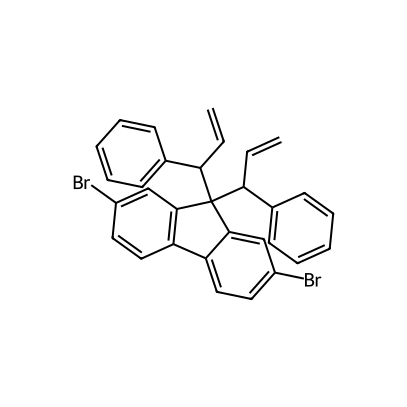 C=CC(c1ccccc1)C1(C(C=C)c2ccccc2)c2cc(Br)ccc2-c2ccc(Br)cc21